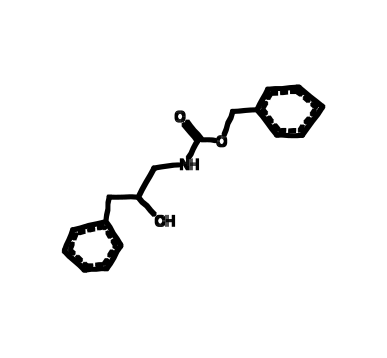 O=C(NCC(O)Cc1ccccc1)OCc1ccccc1